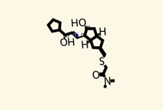 CN(C)C(=O)CSC=C1C[C@H]2C[C@@H](O)[C@H](/C=C/[C@H](O)C3CCCC3)[C@H]2C1